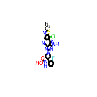 Cc1nc2ccc(-c3n[nH]c4nc(N5CCC(NC(=O)O)(c6ccccc6F)CC5)nc(C#N)c34)c(Cl)c2s1